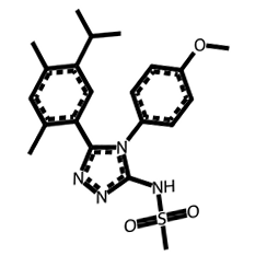 COc1ccc(-n2c(NS(C)(=O)=O)nnc2-c2cc(C(C)C)c(C)cc2C)cc1